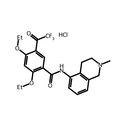 CCOc1cc(OCC)c(C(=O)C(F)(F)F)cc1C(=O)Nc1cccc2c1CCN(C)C2.Cl